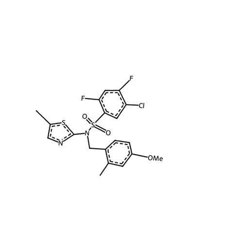 COc1ccc(CN(c2ncc(C)s2)S(=O)(=O)c2cc(Cl)c(F)cc2F)c(C)c1